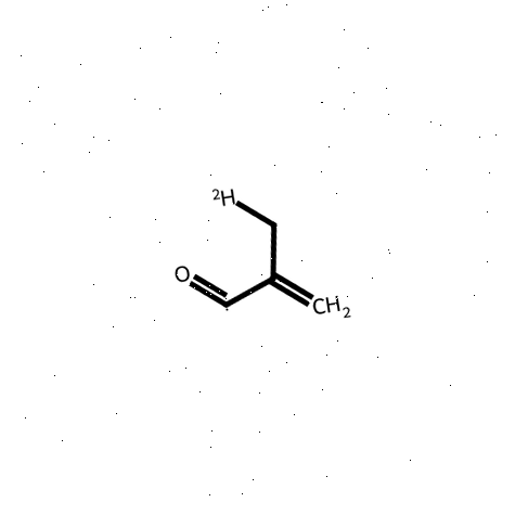 [2H]CC(=C)[C]=O